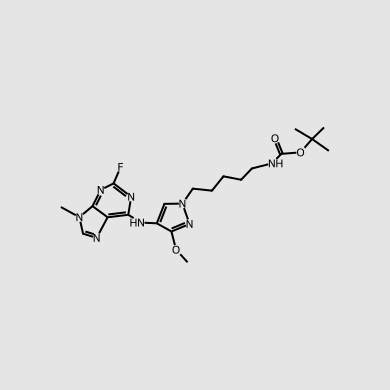 COc1nn(CCCCCNC(=O)OC(C)(C)C)cc1Nc1nc(F)nc2c1ncn2C